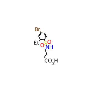 CCc1cc(Br)ccc1S(=O)(=O)NCCCC(=O)O